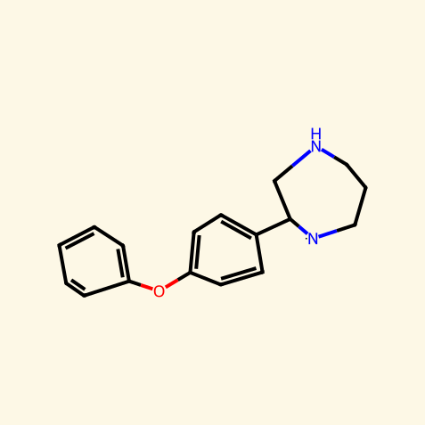 c1ccc(Oc2ccc(C3CNCCC[N]3)cc2)cc1